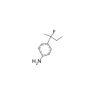 CCC(C)(F)c1ccc(N)cc1